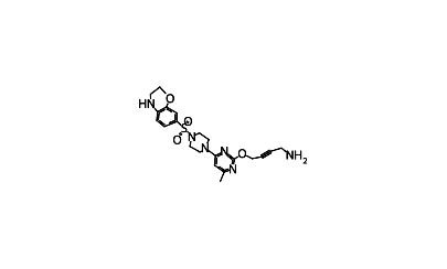 Cc1cc(N2CCN(S(=O)(=O)c3ccc4c(c3)OCCN4)CC2)nc(OCC#CCN)n1